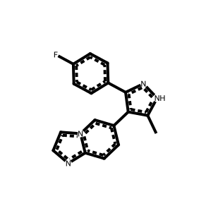 Cc1[nH]nc(-c2ccc(F)cc2)c1-c1ccc2nccn2c1